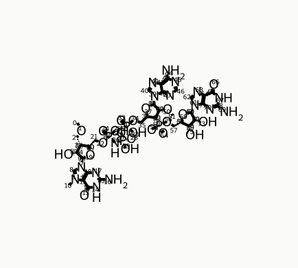 COC[C@H]1[C@@H](O)[C@H](n2c[n+](C)c3c(=O)[nH]c(N)nc32)O[C@@H]1COP(=O)(O)NP(=O)(O)OP(=O)(O)OCC1O[C@@H](n2cnc3c(N)ncnc32)[C@H](OC)[C@@H]1P(=O)([O-])OC[C@H]1O[C@@H](n2cnc3c(=O)[nH]c(N)nc32)[C@H](O)[C@@H]1O